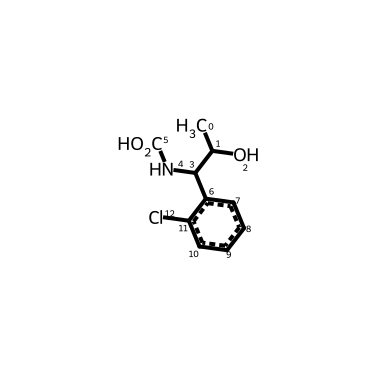 CC(O)C(NC(=O)O)c1ccccc1Cl